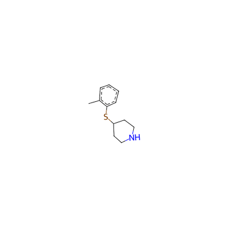 Cc1ccccc1SC1CCNCC1